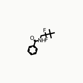 CC(C)(C)C(F)(F)CNC(=O)c1ccccc1